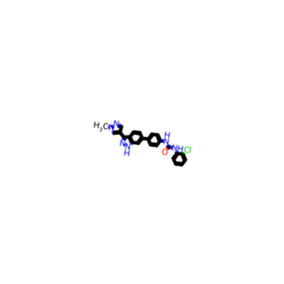 Cn1cc(-c2n[nH]c3cc(-c4ccc(NC(=O)Nc5ccccc5Cl)cc4)ccc23)cn1